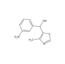 Cc1ncsc1C(O)c1cccc([N+](=O)[O-])c1